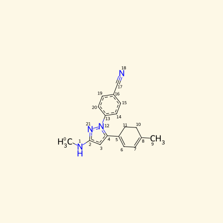 CNc1cc(C2=CC=C(C)CC2)n(-c2ccc(C#N)cc2)n1